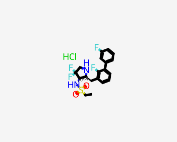 CCS(=O)(=O)N[C@@H]1[C@H](Cc2cccc(-c3cccc(F)c3)c2F)NCC1(F)F.Cl